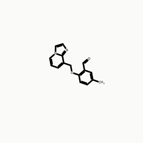 Cc1ccc(OCc2cccn3ccnc23)c(C=O)c1